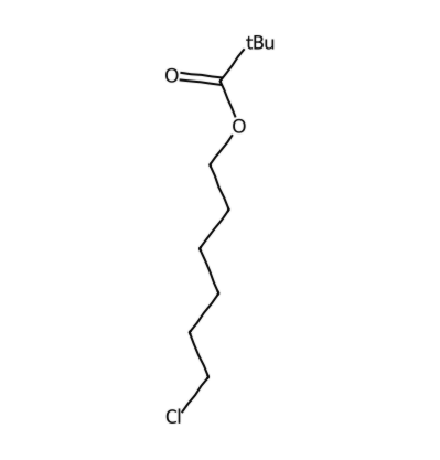 CC(C)(C)C(=O)OCCCCCCCl